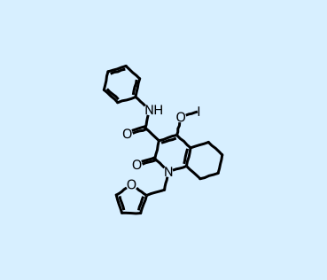 O=C(Nc1ccccc1)c1c(OI)c2c(n(Cc3ccco3)c1=O)CCCC2